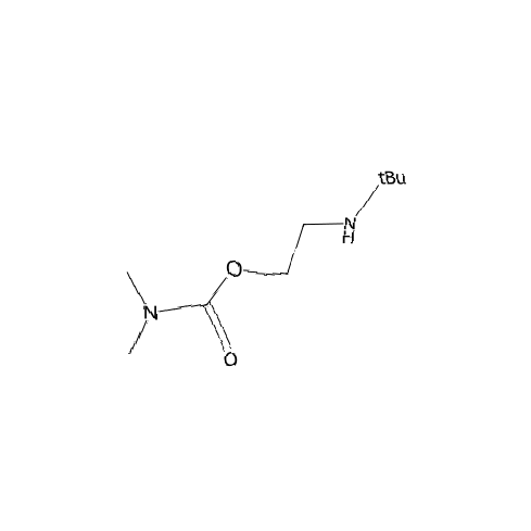 CN(C)C(=O)OCCNC(C)(C)C